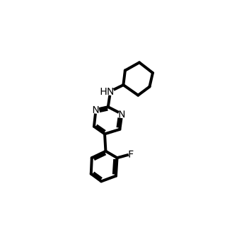 Fc1ccccc1-c1cnc(NC2CCCCC2)nc1